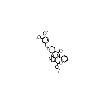 CCOC(=O)c1cnn2c3c(c(=O)n(-c4ccccc4)c12)CCN(Cc1ccc(OC)c(OC)c1)C3